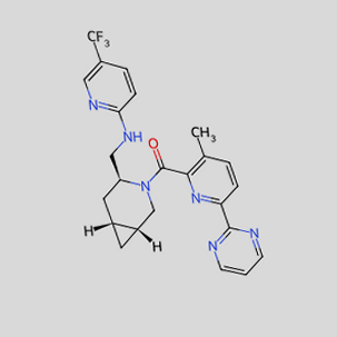 Cc1ccc(-c2ncccn2)nc1C(=O)N1C[C@@H]2C[C@@H]2C[C@H]1CNc1ccc(C(F)(F)F)cn1